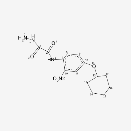 NNC(=O)C(=O)Nc1ccc(OC2CCCCC2)cc1[N+](=O)[O-]